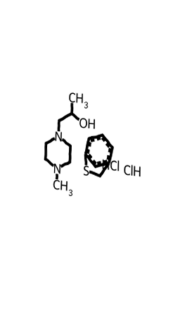 CC(O)CN1CCN(C)CC1.Cl.Cl.c1cc2cc(c1)SC2